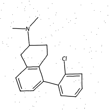 CN(C)C1CCc2c(cccc2-c2ccccc2Cl)C1